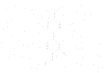 CCc1ccc(-c2ccc(CF)c(F)c2)c(F)c1F